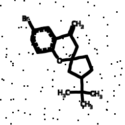 C=C1CC2(CCC(C(C)(C)C)C2)Oc2ccc(Br)cc21